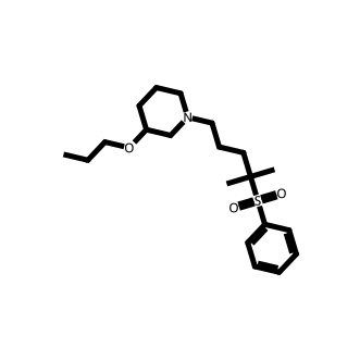 CCCOC1CCCN(CCCC(C)(C)S(=O)(=O)c2ccccc2)C1